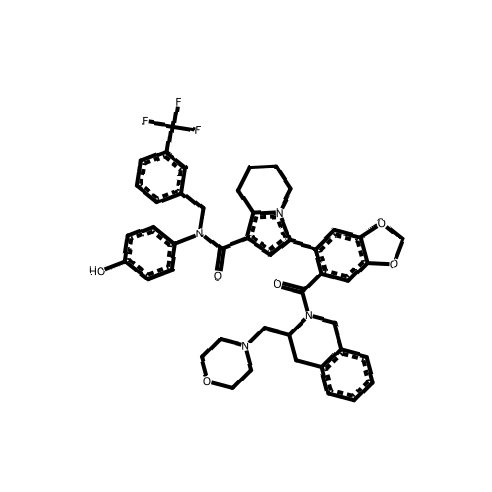 O=C(c1cc(-c2cc3c(cc2C(=O)N2Cc4ccccc4CC2CN2CCOCC2)OCO3)n2c1CCCC2)N(Cc1cccc(C(F)(F)F)c1)c1ccc(O)cc1